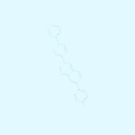 Ic1ccc(-c2ccc3cc(-c4ccc(-c5cccnc5)cc4)ccc3c2)cc1